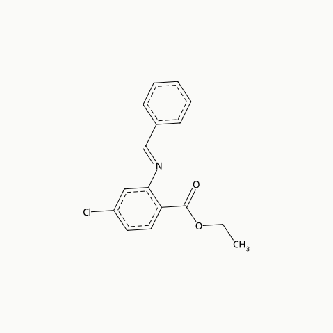 CCOC(=O)c1ccc(Cl)cc1N=Cc1ccccc1